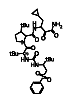 CC(C)(C)C(CS(=O)(=O)c1ccccc1)NC(=O)N[C@H](C(=O)N1CCC(C(C)(C)C)C1C(=O)NC(CC1CC1)C(=O)C(N)=O)C(C)(C)C